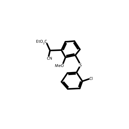 CCOC(=O)C(C#N)c1cccc(Sc2ccccc2Cl)c1OC